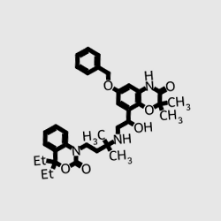 CCC1(CC)OC(=O)N(CCC(C)(C)NCC(O)c2cc(OCc3ccccc3)cc3c2OC(C)(C)C(=O)N3)c2ccccc21